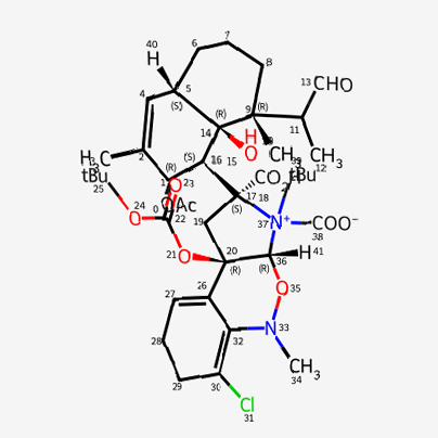 CC(=O)O[C@H]1C(C)=C[C@@H]2CCC[C@](C)(C(C)C=O)[C@]2(O)[C@H]1[C@]1(C(=O)O)C[C@@]2(OC(=O)OC(C)(C)C)C3=CCCC(Cl)=C3N(C)O[C@H]2[N+]1(C(=O)[O-])C(C)(C)C